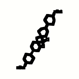 CCCCCCCCC1CCC(C2CC[C@]3(CC2)C[C@@]2(CC[C@H](C4CCC(CCCCCCCC)CC4)CC2)C3(Cl)Cl)CC1